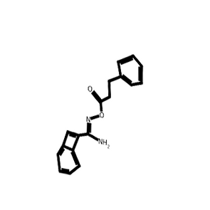 NC(=NOC(=O)CCc1ccccc1)C1=Cc2ccccc21